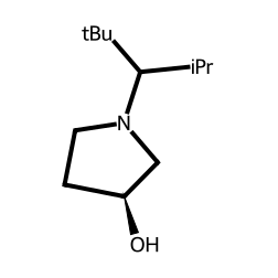 CC(C)C(N1CC[C@H](O)C1)C(C)(C)C